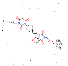 CCCCN1C(=O)CC(=O)N(C2CCC3(CC2)CC(N2C(=O)N(COCC[Si](C)(C)C)C(=O)[C@]24CCOC4)C3)C1=O